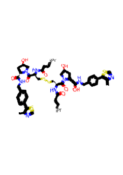 Cc1ncsc1-c1ccc(CNC(=O)[C@@H]2C[C@@H](O)CN2C(=O)[C@H](CSSC[C@@H](NC(=O)CCC(C)C)C(=O)N2C[C@@H](O)C/C2=C(/O)NCc2ccc(-c3scnc3C)cc2)NC(=O)CCC(C)C)cc1